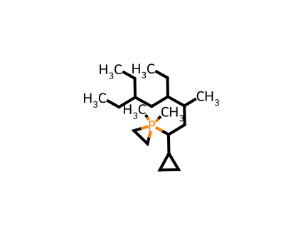 CCC(CC)CC(CC)C(C)CC(C1CC1)P1(C)(C)CC1